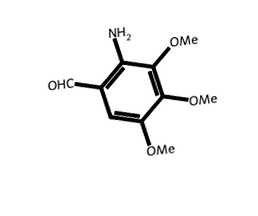 COc1cc(C=O)c(N)c(OC)c1OC